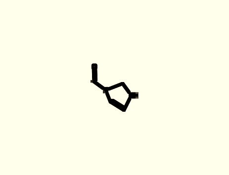 O=[C]N1C=CNC1